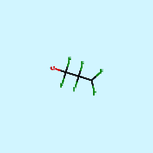 [O]C(F)(F)C(F)(F)[C](F)F